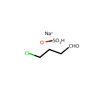 O=CCCCCl.O=S(=O)([O-])O.[Na+]